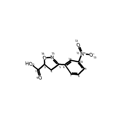 O=C(O)C1CC(c2cccc([N+](=O)[O-])c2)=NO1